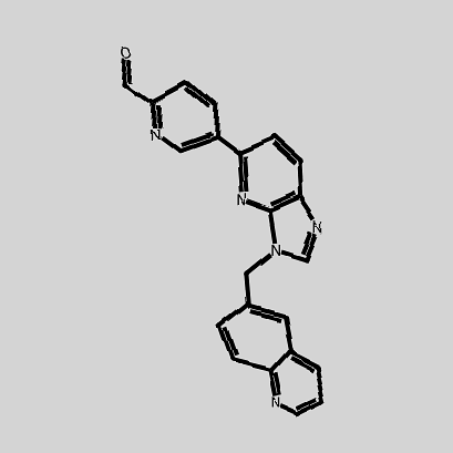 O=Cc1ccc(-c2ccc3ncn(Cc4ccc5ncccc5c4)c3n2)cn1